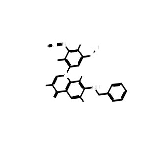 CCOC(=O)c1cn(-c2cc(OC(C)(C)C)c(F)c(N=C=O)c2F)c2c(Cl)c(NCc3ccccc3)c(F)cc2c1=O